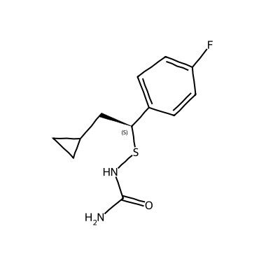 NC(=O)NS[C@@H](CC1CC1)c1ccc(F)cc1